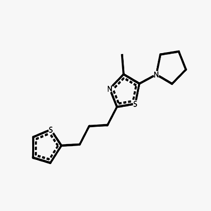 Cc1nc(CCCc2cccs2)sc1N1CCCC1